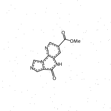 COC(=O)c1cnc2c(c1)[nH]c(=O)c1cncn12